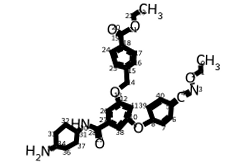 CCON=C=C1C=CC(Oc2cc(OCc3ccc(C(=O)OCC)cc3)cc(C(=O)NC3CCC(N)CC3)c2)C=C1